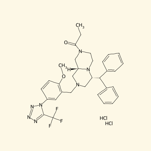 CCC(=O)N1CCN2[C@H](CN(Cc3cc(-n4nnnc4C(F)(F)F)ccc3OC)C[C@H]2C(c2ccccc2)c2ccccc2)C1.Cl.Cl